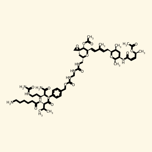 CC(=O)O[C@@H]1[C@@H](/C=C/C(C)=C/C[C@@H]2O[C@H](C)[C@H](NC(=O)/C=C\[C@H](C)OC(C)=O)C[C@@H]2C)O[C@H](CNC(=O)NCNC(=O)OCc2ccc(N(C(=O)[C@@H](NC(=O)CCCCCN)C(C)C)[C@@H](CCCNC(N)=O)C(N)=O)cc2)C[C@@]12CO2